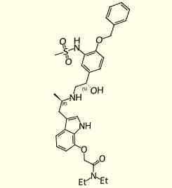 CCN(CC)C(=O)COc1cccc2c(C[C@@H](C)NC[C@@H](O)c3ccc(OCc4ccccc4)c(NS(C)(=O)=O)c3)c[nH]c12